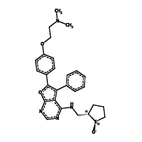 CN(C)CCOc1ccc(-c2oc3ncnc(NC[C@@H]4CCC[S@@+]4[O-])c3c2-c2ccccc2)cc1